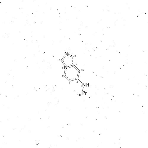 CC(C)Nc1ccn2cncc2c1